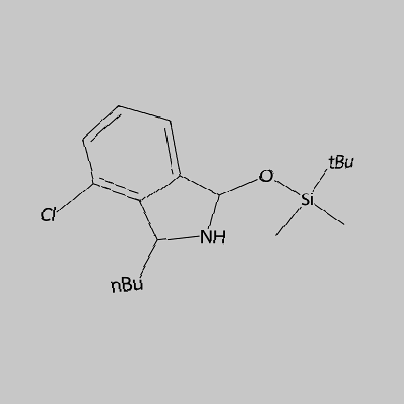 CCCCC1NC(O[Si](C)(C)C(C)(C)C)c2cccc(Cl)c21